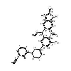 C#Cc1cccc(C2C=CC=C(c3cc(F)c(N=C)c(C(C=C)c4ccc5[nH]c(=O)[nH]c5c4)c3)C2)c1